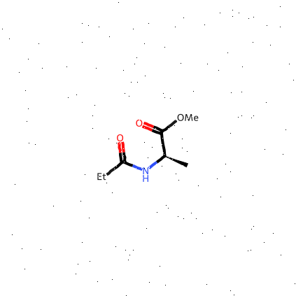 CCC(=O)N[C@H](C)C(=O)OC